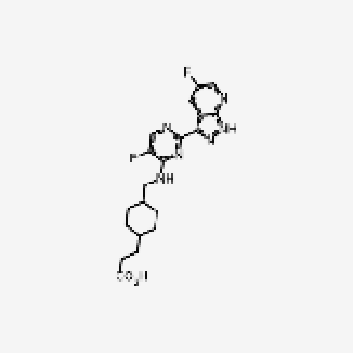 O=C(O)CCC1CCC(CNc2nc(-c3n[nH]c4ncc(F)cc34)ncc2F)CC1